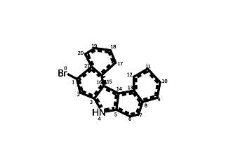 Brc1cc2[nH]c3ccc4ccccc4c3c2c2ccccc12